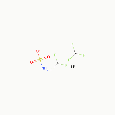 FC(F)F.FC(F)F.NS(=O)(=O)[O-].[Li+]